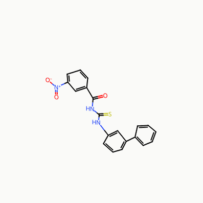 O=C(NC(=S)Nc1cccc(-c2ccccc2)c1)c1cccc([N+](=O)[O-])c1